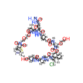 C/C=C\C(CCC)(SC1CC(=O)N(CCOCCOC(=O)N[C@H](C(=O)N[C@@H](CCCNC(N)=O)C(=O)Nc2ccc(COC(=O)N(C)CCN(CCOCCO)C(=O)Oc3cc4c(c5c(C)cccc35)[C@H](CCl)CN4C(=O)c3cn4cc(NC(=O)c5ccc(O)cc5)ccc4n3)cc2)C(C)C)C1=O)C1CC1